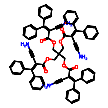 NC#CC(C(=O)OCC(COC(=O)C(C#CN)=C(c1ccccc1)c1ccccc1)(COC(=O)C(C#CN)=C(c1ccccc1)c1ccccc1)COC(=O)C(C#CN)=C(c1ccccc1)c1ccccc1)=C(c1ccccc1)c1ccccc1